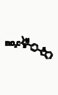 CCOC(=O)c1sc(-c2ccc(-c3cc4ccccc4s3)cc2)nc1C